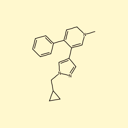 CN1C=C(c2cnn(CC3CC3)c2)C(c2ccccc2)=CC1